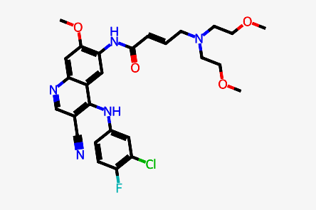 COCCN(CC=CC(=O)Nc1cc2c(Nc3ccc(F)c(Cl)c3)c(C#N)cnc2cc1OC)CCOC